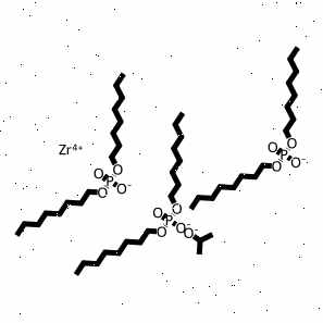 CC(C)[O-].CCCCCCCCOP(=O)([O-])OCCCCCCCC.CCCCCCCCOP(=O)([O-])OCCCCCCCC.CCCCCCCCOP(=O)([O-])OCCCCCCCC.[Zr+4]